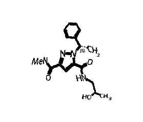 CNC(=O)c1cc(C(=O)NCC(C)O)n([C@@H](C)c2ccccc2)n1